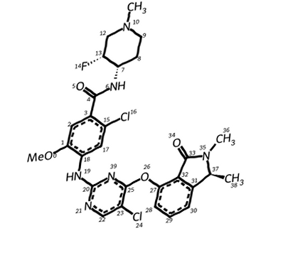 COc1cc(C(=O)N[C@H]2CCN(C)C[C@H]2F)c(Cl)cc1Nc1ncc(Cl)c(Oc2cccc3c2C(=O)N(C)[C@H]3C)n1